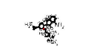 Cc1c(S(C)(=O)=O)c[nH]c1C(=O)N[C@]12C(=O)c3c(N)cccc3[C@@]1(O)Oc1cc(C3C[C@@H]3C)ccc12